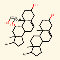 CC(=O)C1CCC2C3CC=C4CC(O)CCC4(C)C3CCC12C.CC(=O)C1CCC2C3CC=C4CC(O)CCC4(C)C3CCC12C.O=S(=O)(O)O.O=S(=O)(O)O